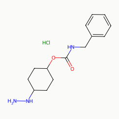 Cl.NNC1CCC(OC(=O)NCc2ccccc2)CC1